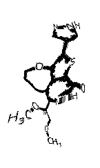 COC[C@@H](OC)c1[nH]c(=O)c2sc(-c3cn[nH]c3)c3c2c1CCCO3